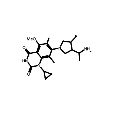 COc1c(F)c(N2CC(F)C(C(C)N)C2)c(C)c2c1c(=O)[nH]c(=O)n2C1CC1